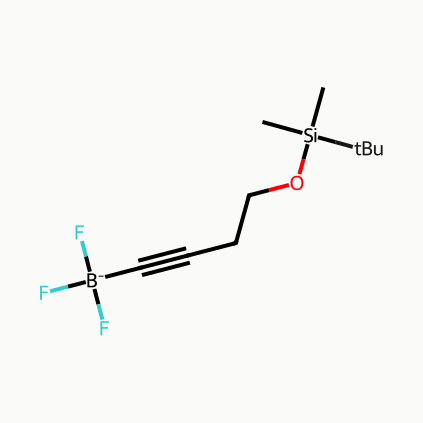 CC(C)(C)[Si](C)(C)OCCC#C[B-](F)(F)F